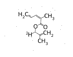 [2H]C(OC(=O)C(C)=CC=C)C(=C)C